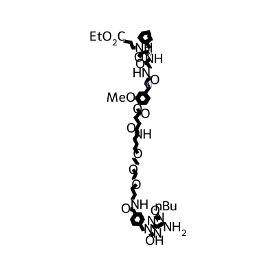 CCCCOc1nc(N)c2nc(O)n(Cc3ccc(C(=O)NCCCOCCOCCOCCCNC(=O)CCC(=O)Oc4ccc(/C=C/C(=O)NCC(=O)N[C@@H](Cc5ccccc5)C(=O)NCCCC(=O)OCC)cc4OC)cc3)c2n1